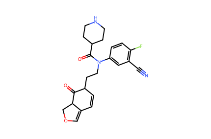 N#Cc1cc(N(CCC2C=CC3=COCC3C2=O)C(=O)C2CCNCC2)ccc1F